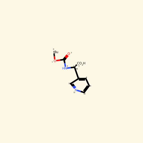 CC(C)(C)OC(=O)N[C@@H](C(=O)O)c1cccnc1